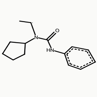 C[CH]N(C(=O)Nc1ccccc1)C1CCCC1